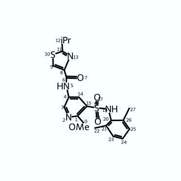 COc1ncc(NC(=O)c2csc(C(C)C)n2)cc1S(=O)(=O)Nc1c(C)cccc1C